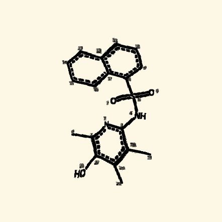 Cc1nc(NS(=O)(=O)c2cccc3ccccc23)c(C)c(C)c1O